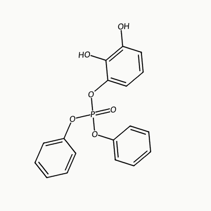 O=P(Oc1ccccc1)(Oc1ccccc1)Oc1cccc(O)c1O